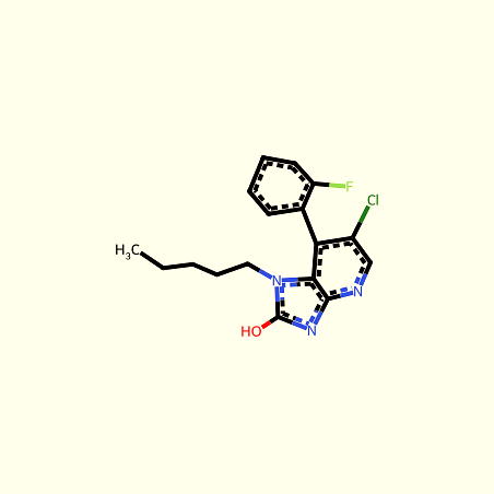 CCCCCn1c(O)nc2ncc(Cl)c(-c3ccccc3F)c21